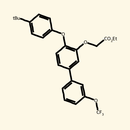 CCOC(=O)COc1cc(-c2cccc(OC(F)(F)F)c2)ccc1Oc1ccc(C(C)(C)C)cc1